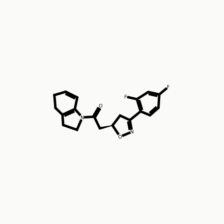 O=C(C[C@H]1CC(c2ccc(F)cc2F)=NO1)N1CCC2=C1C=CCC2